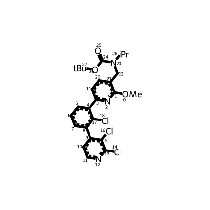 COc1nc(-c2cccc(-c3ccnc(Cl)c3Cl)c2Cl)ccc1CN(C(=O)OC(C)(C)C)C(C)C